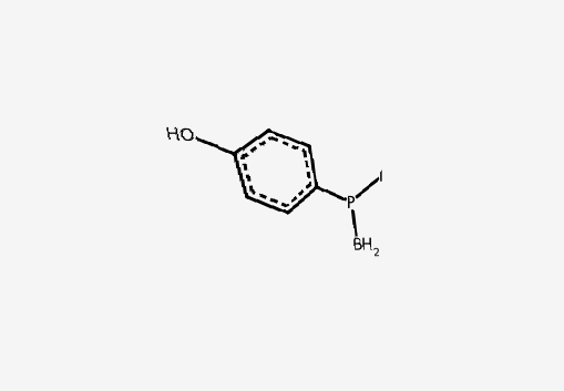 BP(I)c1ccc(O)cc1